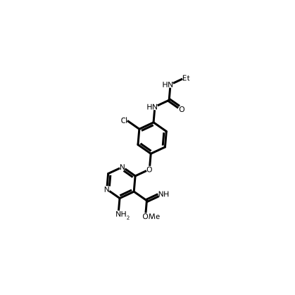 CCNC(=O)Nc1ccc(Oc2ncnc(N)c2C(=N)OC)cc1Cl